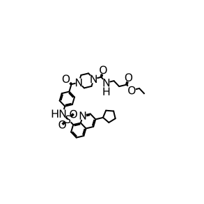 CCOC(=O)CCNC(=O)N1CCN(C(=O)c2ccc(NS(=O)(=O)c3cccc4cc(C5CCCC5)cnc34)cc2)CC1